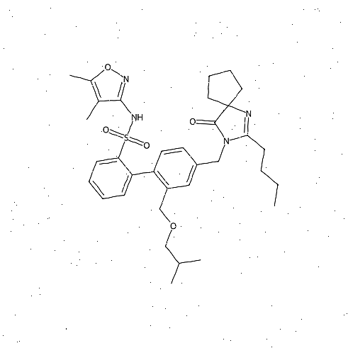 CCCCC1=NC2(CCCC2)C(=O)N1Cc1ccc(-c2ccccc2S(=O)(=O)Nc2noc(C)c2C)c(COCC(C)C)c1